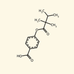 CC(C)C(C)(C)C(=O)Oc1ccc(C(=O)O)cc1